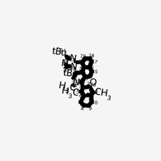 Cc1c2c(c(C)c3ccccc13)-c1c3c(cc4cccc(-c5nc(C(C)(C)C)nc(C(C)(C)C)n5)c4c3cc[n+]1C)O2